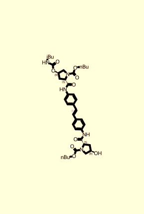 CCCCOC(=O)N1C[C@H](O)C[C@H]1C(=O)Nc1ccc(/C=C/c2ccc(NC(=O)[C@@H]3C[C@@H](OC(=O)NC(C)CC)CN3C(=O)OCCCC)cc2)cc1